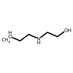 C.OCCNCCO